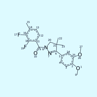 COc1ccc(C2=NN(C(=O)c3ccc(C)c(F)c3F)CC2(C)C)cc1OC